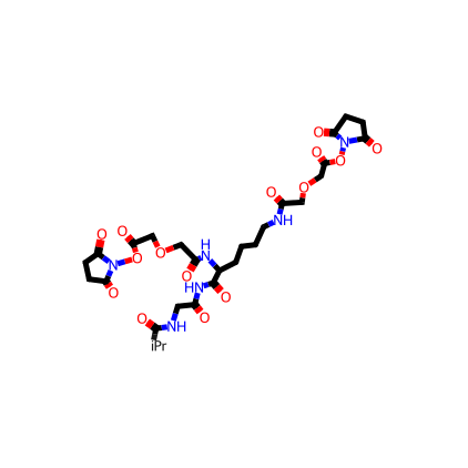 CC(C)C(=O)NCC(=O)NC(=O)C(CCCCNC(=O)COCC(=O)ON1C(=O)CCC1=O)NC(=O)COCC(=O)ON1C(=O)CCC1=O